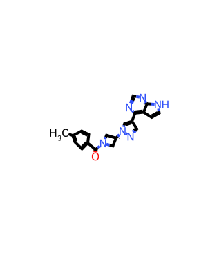 Cc1ccc(C(=O)N2C[C](n3cc(-c4ncnc5[nH]ccc45)cn3)C2)cc1